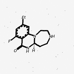 CCc1cc(F)c2c(c1)N1CCNCC[C@H]1NC2=O